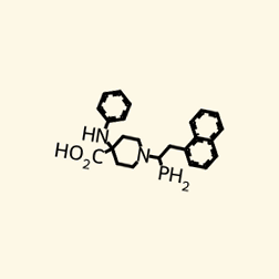 O=C(O)C1(Nc2ccccc2)CCN(C(P)Cc2cccc3ccccc23)CC1